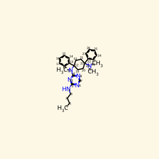 CCCCNc1ncnc(N(C)C2(c3ccccc3)CCC(c3ccccc3)(N(C)C)CC2)n1